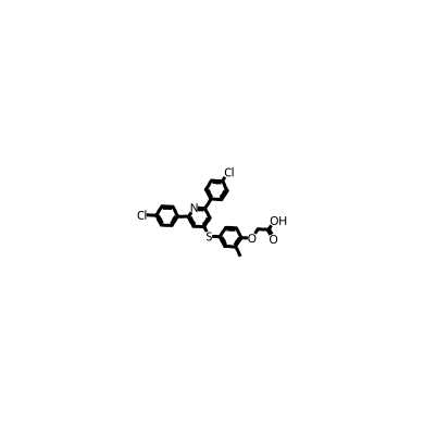 Cc1cc(Sc2cc(-c3ccc(Cl)cc3)nc(-c3ccc(Cl)cc3)c2)ccc1OCC(=O)O